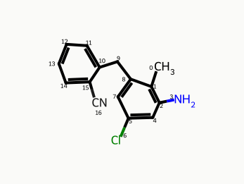 Cc1c(N)cc(Cl)cc1Cc1ccccc1C#N